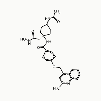 CC(=O)N[C@H]1CC[C@@](CC(=O)NO)(NC(=O)c2ccc(OCc3cc(C)nc4ccccc34)cc2)CC1